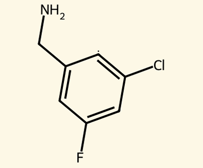 NCc1[c]c(Cl)cc(F)c1